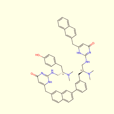 CN(C)[C@H](CNc1nc(=O)cc(Cc2ccc3ccc(-c4cccc(C[C@@H](CNc5nc(=O)cc(Cc6ccc7ccccc7c6)[nH]5)N(C)C)c4)cc3c2)[nH]1)Cc1ccc(O)cc1